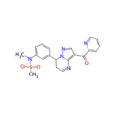 CN(c1cccc(-c2ccnc3c(C(=O)c4ccccn4)cnn23)c1)S(C)(=O)=O